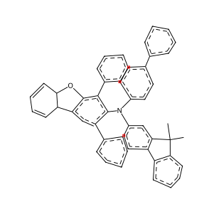 CC1(C)c2ccccc2-c2ccc(N(c3ccc(-c4ccccc4)cc3)c3c(-c4ccccc4)cc4c(c3-c3ccccc3)OC3C=CC=CC43)cc21